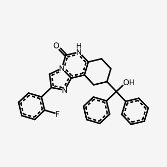 O=c1[nH]c2c(c3nc(-c4ccccc4F)cn13)CC(C(O)(c1ccccc1)c1ccccc1)CC2